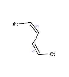 CC/C=C\C=C/C(C)C